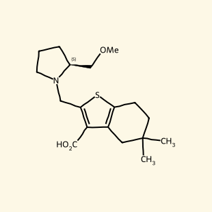 COC[C@@H]1CCCN1Cc1sc2c(c1C(=O)O)CC(C)(C)CC2